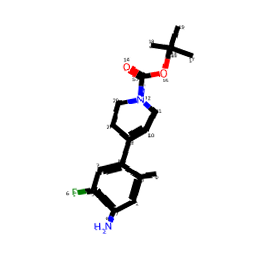 Cc1cc(N)c(F)cc1C1=CCN(C(=O)OC(C)(C)C)CC1